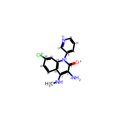 CNc1c(N)c(=O)n(-c2cccnc2)c2cc(Cl)ccc12